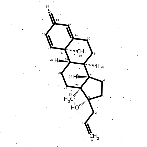 C=CC[C@]1(O)CC[C@H]2[C@@H]3CCC4=CC(=S)C=C[C@]4(C)[C@H]3CC[C@@]21C